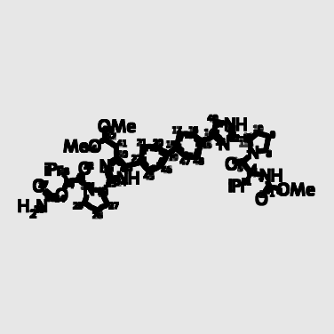 COC(=O)N[C@H](C(=O)N1CCC[C@H]1c1nc(-c2ccc(-c3ccc(-c4[nH]c([C@@H]5CCCN5C(=O)[C@@H](OC(N)=O)C(C)C)nc4CC(OC)OC)cc3)cc2)c[nH]1)C(C)C